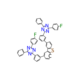 Fc1ccc(-c2nc(-c3ccccc3)nc(-c3cccc(C4=Cc5c(sc6ccc(-c7cccc(-c8nc(-c9ccccc9)nc(-c9ccc(F)cc9)n8)c7)cc56)CC=C4)c3)n2)cc1